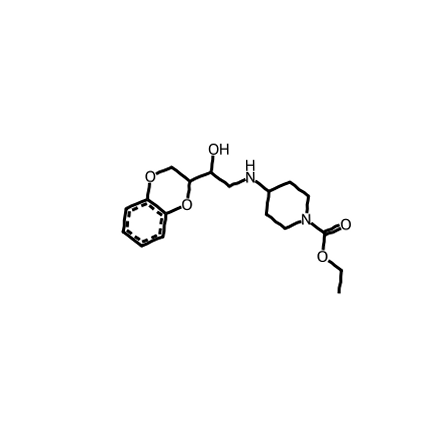 CCOC(=O)N1CCC(NCC(O)C2COc3ccccc3O2)CC1